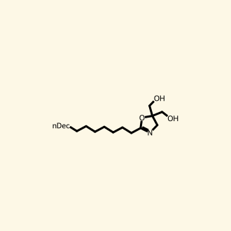 CCCCCCCCCCCCCCCCCC1=NCC(CO)(CO)O1